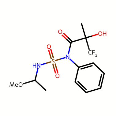 COC(C)NS(=O)(=O)N(C(=O)C(C)(O)C(F)(F)F)c1ccccc1